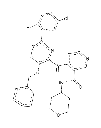 O=C(NC1CCOCC1)c1cnccc1Nc1nc(-c2cc(Cl)ccc2F)ncc1OCc1ccccc1